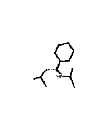 CC(C)C[C@@H](NC(C)C)C1CCCCC1